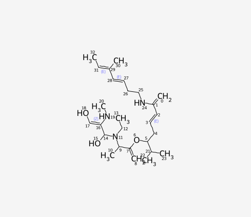 C=C(/C=C/CC(OC(=C)C(C)N(CC)C(O)/C(=C/O)NC)C(C)C)NCC/C=C/C(C)=C/C